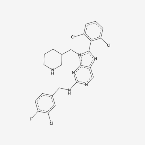 Fc1ccc(CNc2ncc3nc(-c4c(Cl)cccc4Cl)n(CC4CCCNC4)c3n2)cc1Cl